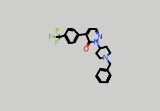 O=c1c(-c2ccc(C(F)(F)F)cc2)ccnn1C1CCN(Cc2ccccc2)CC1